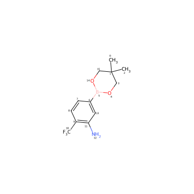 CC1(C)COB(c2ccc(C(F)(F)F)c(N)c2)OC1